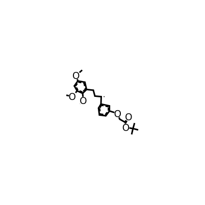 COc1cc(CC[CH]c2cccc(OCC(=O)OC(C)(C)C)c2)c(OC)c(OC)c1